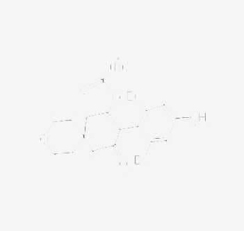 CCc1cc(C)cc(CC)c1C1=C(OC(=O)C(C)(C)C)CC2(CCOCC2)CC1=O